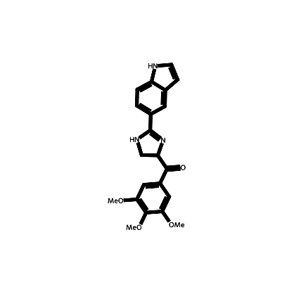 COc1cc(C(=O)C2CNC(c3ccc4[nH]ccc4c3)=N2)cc(OC)c1OC